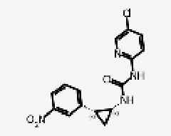 O=C(Nc1ccc(Cl)cn1)N[C@@H]1C[C@@H]1c1cccc([N+](=O)[O-])c1